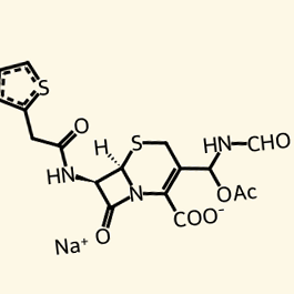 CC(=O)OC(NC=O)C1=C(C(=O)[O-])N2C(=O)[C@@H](NC(=O)Cc3cccs3)[C@H]2SC1.[Na+]